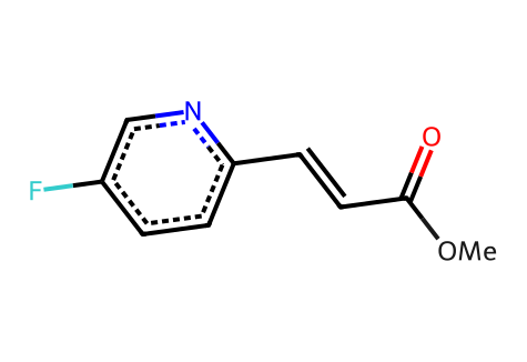 COC(=O)C=Cc1ccc(F)cn1